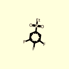 CCS(=O)(=O)c1cc(F)c(F)c(F)c1